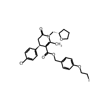 CC1=C(C(=O)OCc2ccc(OCCI)cc2)[C@@H](c2ccc(Cl)cc2)CC(=O)N1C[C@@H]1CCCO1